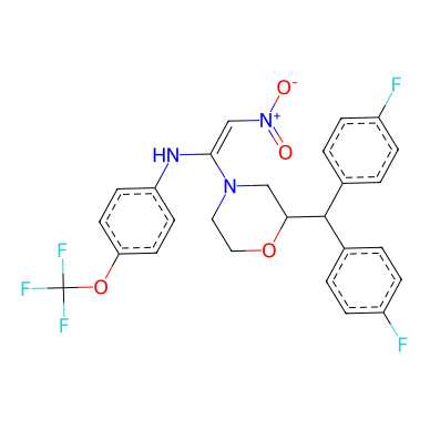 O=[N+]([O-])C=C(Nc1ccc(OC(F)(F)F)cc1)N1CCOC(C(c2ccc(F)cc2)c2ccc(F)cc2)C1